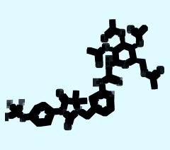 CC(=O)OC[C@H]1O[C@@H](NC(=S)Nc2cc(CN3C(=O)N(c4ccc(SC(F)(F)F)cc4)C(=O)C3(C)C)ccn2)[C@H](OC(C)=O)[C@@H](OC(C)=O)[C@@H]1OC(C)=O